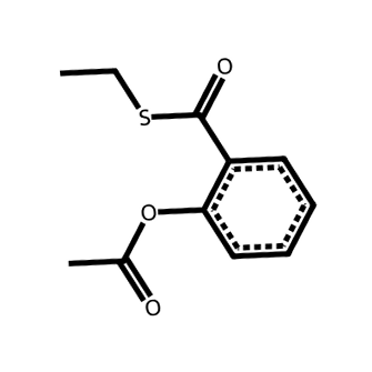 CCSC(=O)c1ccccc1OC(C)=O